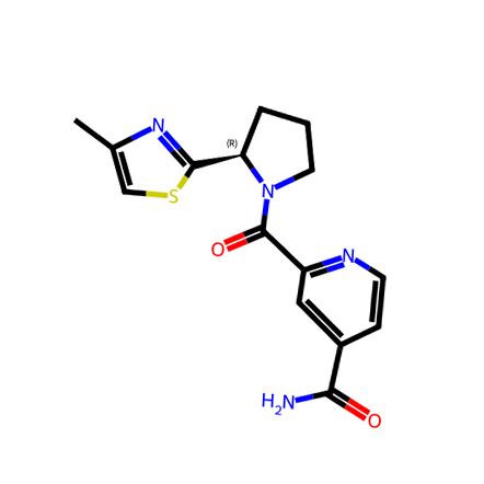 Cc1csc([C@H]2CCCN2C(=O)c2cc(C(N)=O)ccn2)n1